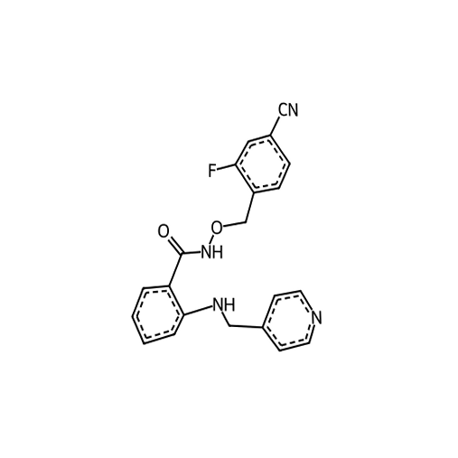 N#Cc1ccc(CONC(=O)c2ccccc2NCc2ccncc2)c(F)c1